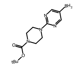 Bc1cnc(N2CCN(C(=O)OC(C)(C)C)CC2)nc1